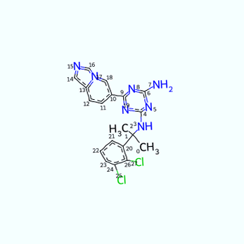 CC(C)(Nc1nc(N)nc(-c2ccc3cncn3c2)n1)c1cccc(Cl)c1Cl